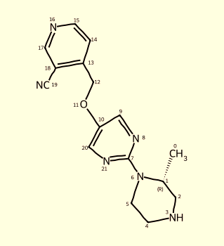 C[C@@H]1CNCCN1c1ncc(OCc2ccncc2C#N)cn1